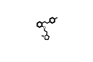 Cc1ccc(CCc2ccccc2OCCC2CCCN2C)cc1